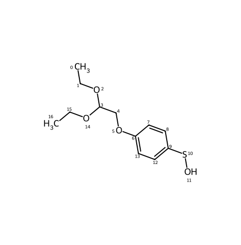 CCOC(COc1ccc(SO)cc1)OCC